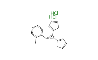 Cc1ccccc1[CH]=[Zr]([C]1=CC=CC1)[C]1=CC=CC1.Cl.Cl